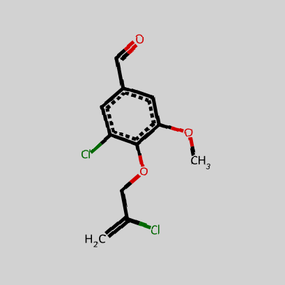 C=C(Cl)COc1c(Cl)cc(C=O)cc1OC